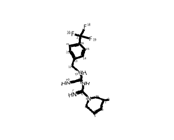 CC1CCCN(C(=N)NC(=N)NCc2ccc(C(F)(F)F)cc2)C1